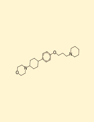 c1cc(C2CCC(N3CCOCC3)CC2)ccc1OCCCN1CCCCC1